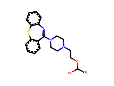 CC(O)OCCN1CCN(C2=Nc3ccccc3Sc3ccccc32)CC1